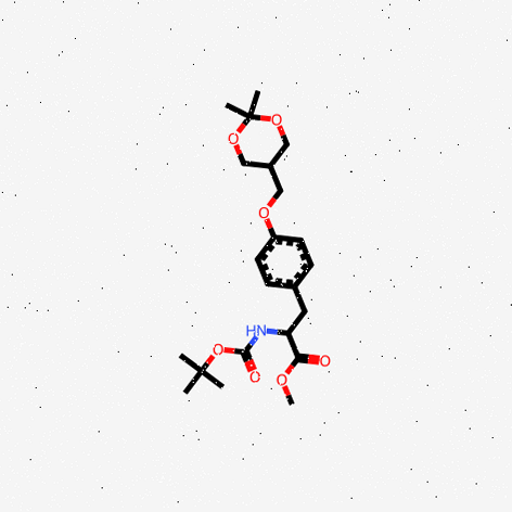 COC(=O)C(Cc1ccc(OCC2COC(C)(C)OC2)cc1)NC(=O)OC(C)(C)C